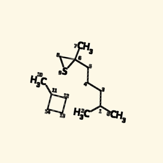 CC(C)CCCC1(C)CS1.CC1CCC1